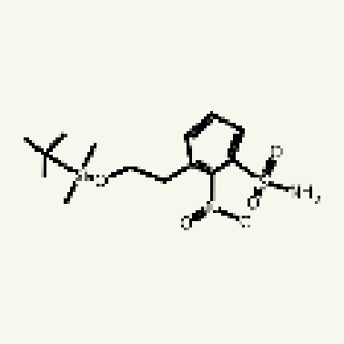 CC(C)(C)[Si](C)(C)OCCc1cccc(S(N)(=O)=O)c1[N+](=O)[O-]